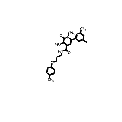 Cn1c(-c2cc(F)cc(C(F)(F)F)c2)cc(C(=O)NCCCOc2ccc(C(F)(F)F)cc2)c(O)c1=O